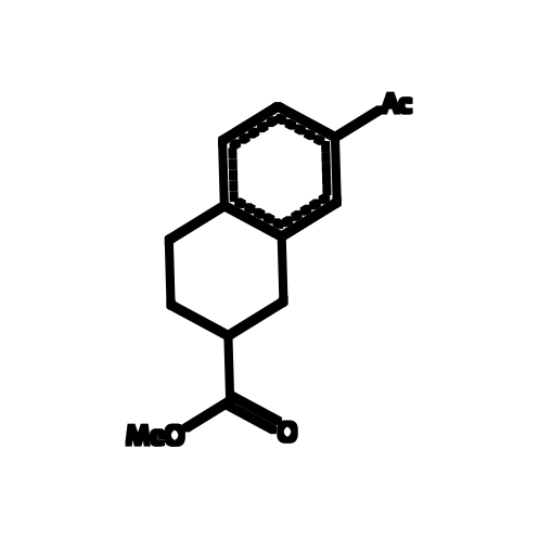 COC(=O)C1CCc2ccc(C(C)=O)cc2C1